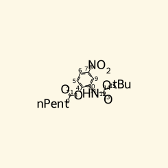 CCCCCC(=O)Oc1ccc([N+](=O)[O-])cc1NC(=O)OC(C)(C)C